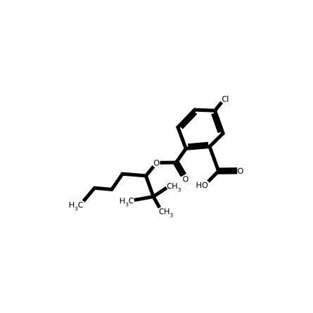 CCCCC(OC(=O)c1ccc(Cl)cc1C(=O)O)C(C)(C)C